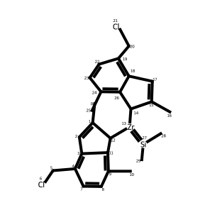 CC1=Cc2c(CCl)ccc(C)c2[CH]1[Zr]([CH]1C(C)=Cc2c(CCl)ccc(C)c21)=[Si](C)C